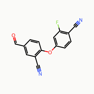 N#Cc1ccc(Oc2ccc(C=O)cc2C#N)cc1F